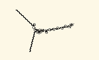 CCCCCCCCCCCCCCCCCC(=O)OC[C@H](COP(=O)(O)OCCNC(=O)CCOCCOCCOCCOCCOCCN=[N+]=[N-])OC(=O)CCCCCCCCCCCCCCCCC